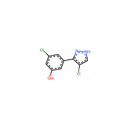 Oc1cc(Cl)cc(-c2n[nH]cc2Cl)c1